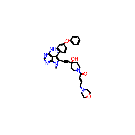 Cn1c(C#CC2(O)CCN(C(=O)/C=C/CN3CCOCC3)CC2)c(-c2ccc(Oc3ccccc3)cc2)c2c(N)ncnc21